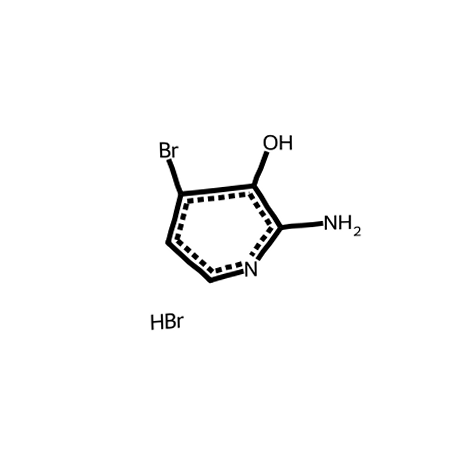 Br.Nc1nccc(Br)c1O